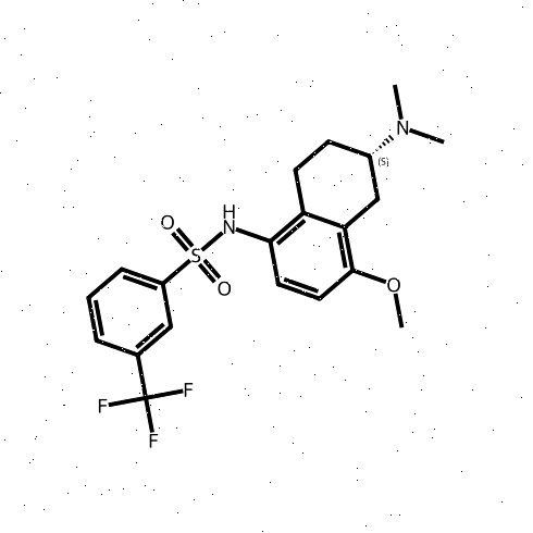 COc1ccc(NS(=O)(=O)c2cccc(C(F)(F)F)c2)c2c1C[C@@H](N(C)C)CC2